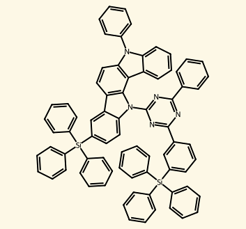 c1ccc(-c2nc(-c3cccc([Si](c4ccccc4)(c4ccccc4)c4ccccc4)c3)nc(-n3c4ccc([Si](c5ccccc5)(c5ccccc5)c5ccccc5)cc4c4ccc5c(c6ccccc6n5-c5ccccc5)c43)n2)cc1